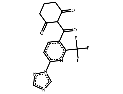 O=C1CCCC(=O)C1C(=O)c1ccc(-n2cncn2)nc1C(F)(F)F